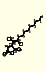 CCCCCCCCCC(Cl)=C(Cl)C1CC(=O)OC1=O